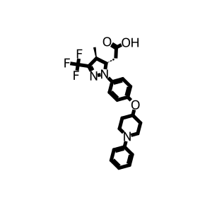 C[C@@H]1C(C(F)(F)F)=NN(c2ccc(OC3CCN(c4ccccc4)CC3)cc2)[C@H]1CC(=O)O